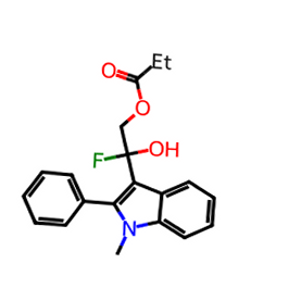 CCC(=O)OCC(O)(F)c1c(-c2ccccc2)n(C)c2ccccc12